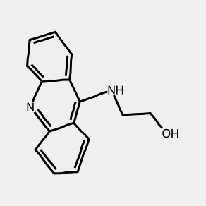 OCCNc1c2ccccc2nc2ccccc12